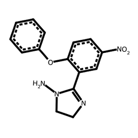 NN1CCN=C1c1cc([N+](=O)[O-])ccc1Oc1ccccc1